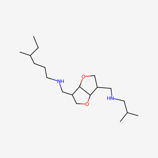 CCC(C)CCCNCC1COC2C(CNCC(C)C)COC12